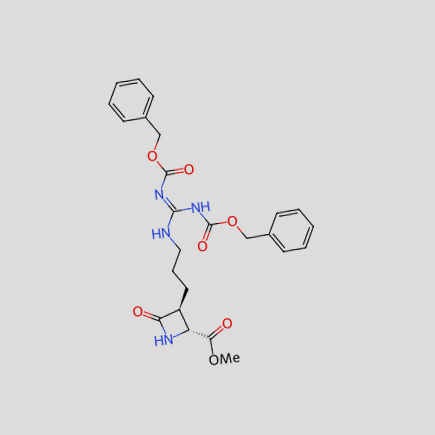 COC(=O)[C@@H]1NC(=O)[C@H]1CCCNC(=NC(=O)OCc1ccccc1)NC(=O)OCc1ccccc1